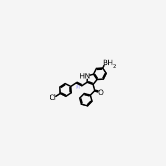 Bc1ccc2c(C(=O)c3ccccc3)c(/C=C/c3ccc(Cl)cc3)[nH]c2c1